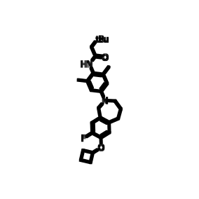 Cc1cc(N2CCCc3cc(OC4CCC4)c(F)cc3C2)cc(C)c1NC(=O)CC(C)(C)C